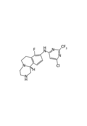 Fc1c(Nc2cc(Cl)nc(C(F)(F)F)n2)ccc2c1CCN1CCNC[C@@H]21